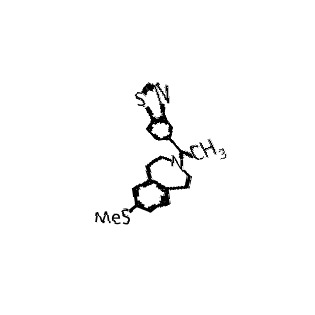 CSc1ccc2c(c1)CCN(C(C)c1ccc3scnc3c1)CC2